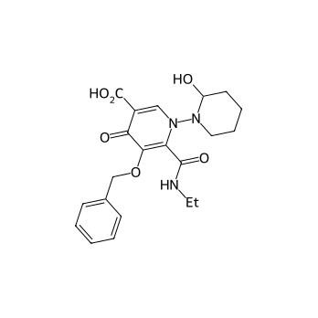 CCNC(=O)c1c(OCc2ccccc2)c(=O)c(C(=O)O)cn1N1CCCCC1O